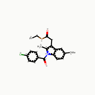 COc1ccc2c(c1)c(CC(=O)SCC(C)C)c(C)n2C(=O)c1ccc(Cl)cc1